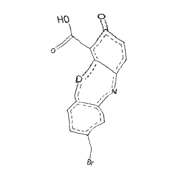 O=C(O)c1c2oc3ccc(Br)cc3nc-2ccc1=O